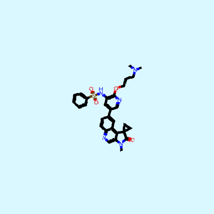 CN(C)CCCOc1ncc(-c2ccc3ncc4c(c3c2)C2(CC2)C(=O)N4C)cc1NS(=O)(=O)c1ccccc1